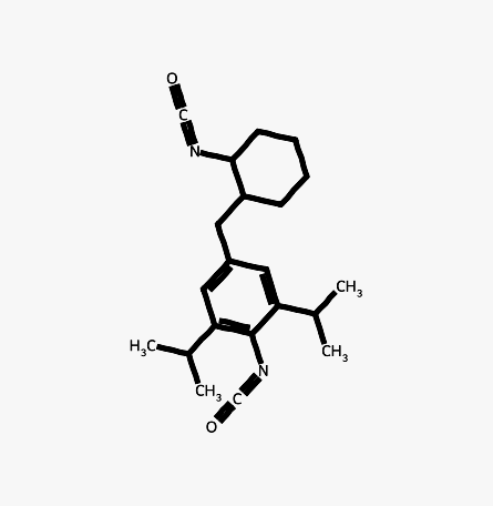 CC(C)c1cc(CC2CCCCC2N=C=O)cc(C(C)C)c1N=C=O